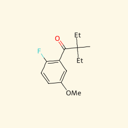 CCC(C)(CC)C(=O)c1cc(OC)ccc1F